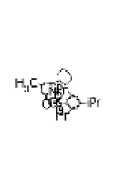 Cc1cc(C2CCCCC2)n(OS(=O)(=O)c2c(C(C)C)cc(C(C)C)cc2C(C)C)c(=O)c1